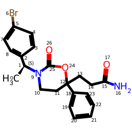 C[C@@H](c1ccc(Br)cc1)N1CCC(CCC(N)=O)(c2ccccc2)OC1=O